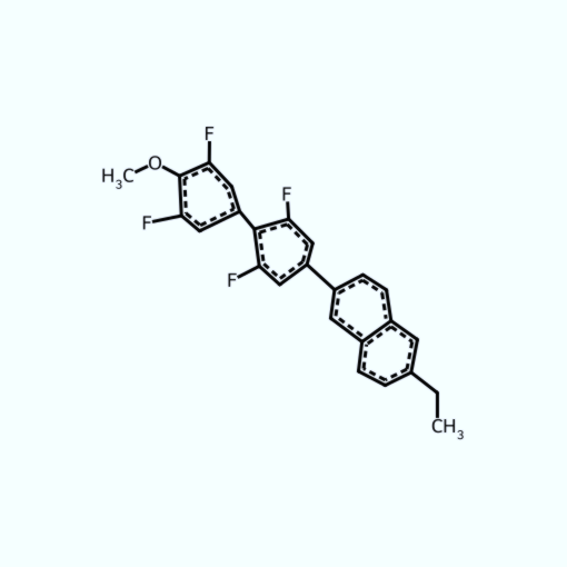 CCc1ccc2cc(-c3cc(F)c(-c4cc(F)c(OC)c(F)c4)c(F)c3)ccc2c1